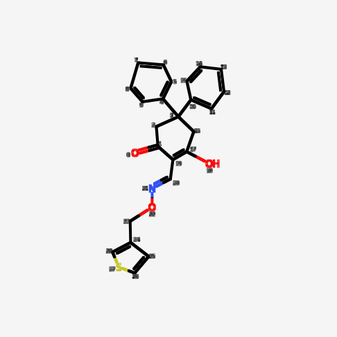 O=C1CC(c2ccccc2)(c2ccccc2)CC(O)=C1C=NOCc1ccsc1